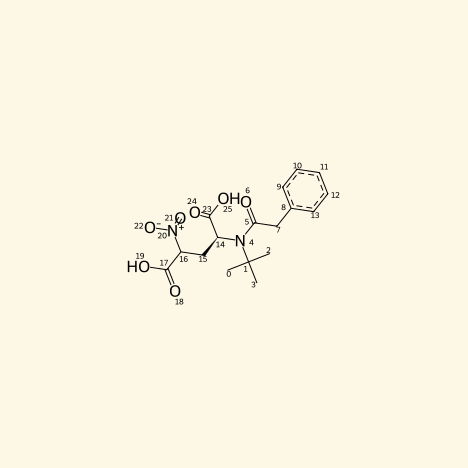 CC(C)(C)N(C(=O)Cc1ccccc1)[C@@H](CC(C(=O)O)[N+](=O)[O-])C(=O)O